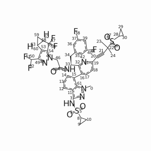 Cn1nc(NS(=O)(=O)C2CC2)c2cccc(-c3ccc(C#CC(C)(C)S(=O)(=O)C4CC4)nc3[C@H](Cc3cc(F)cc(F)c3)NC(=O)Cn3nc(C(F)F)c4c3C(F)(F)[C@@H]3C[C@H]43)c21